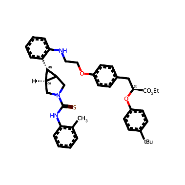 CCOC(=O)[C@H](Cc1ccc(OCCNc2ccccc2[C@@H]2C3CN(C(=S)Nc4ccccc4C)C[C@H]32)cc1)Oc1ccc(C(C)(C)C)cc1